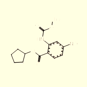 CC(C)(C)OC(=O)Nc1cc([N+](=O)[O-])ccc1C(=O)OC1CCCC1